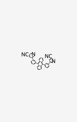 N#Cc1cncc(-c2cccc(-c3c4ccccc4c(-c4cccc(-c5cncc(C#N)c5)c4)c4ccccc34)c2)c1